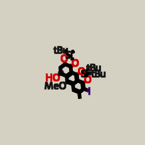 COc1c2c(c3c4c(c(I)c(C)cc14)O[Si](C(C)(C)C)(C(C)(C)C)O3)C(=O)C(O[Si](C)(C)C(C)(C)C)C[C@@H]2O